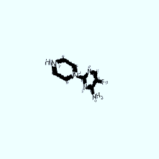 Nc1nc(N2CCNCC2)ncc1F